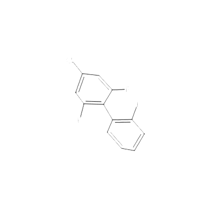 Fc1cc(Cl)cc(F)c1-c1ccc[c]c1I